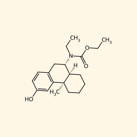 CCOC(=O)N(CC)[C@H]1Cc2ccc(O)cc2[C@]2(C)CCCC[C@H]12